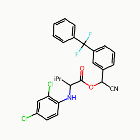 CC(C)C(Nc1ccc(Cl)cc1Cl)C(=O)OC(C#N)c1cccc(C(F)(F)c2ccccc2)c1